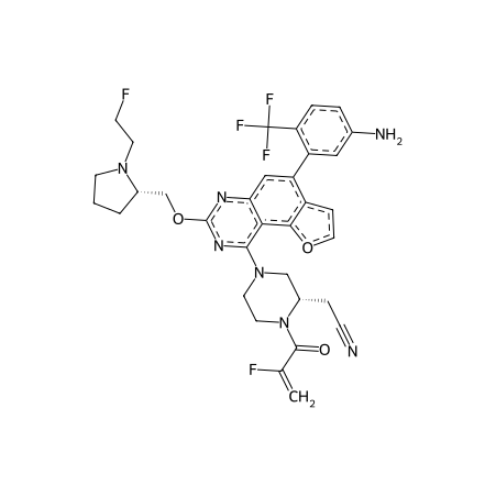 C=C(F)C(=O)N1CCN(c2nc(OC[C@@H]3CCCN3CCF)nc3cc(-c4cc(N)ccc4C(F)(F)F)c4ccoc4c23)C[C@@H]1CC#N